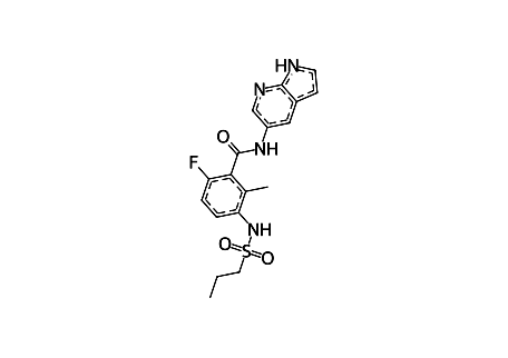 CCCS(=O)(=O)Nc1ccc(F)c(C(=O)Nc2cnc3[nH]ccc3c2)c1C